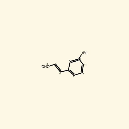 CC(C)(C)c1cccc(C=CC=O)c1